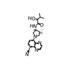 CC(C)[C@@H](O)C(=O)N[C@H]1CN(c2ccc(C#N)c3nccnc23)C[C@H]1C